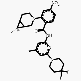 Cc1cc(NC(=O)c2ccc([N+](=O)[O-])cc2N2CCC3C(C2)[C@@H]3C)nc(N2CCC(F)(F)CC2)c1